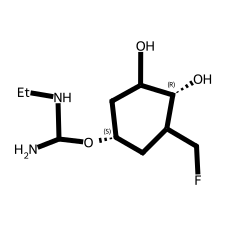 CCNC(N)O[C@@H]1CC(O)[C@H](O)C(CF)C1